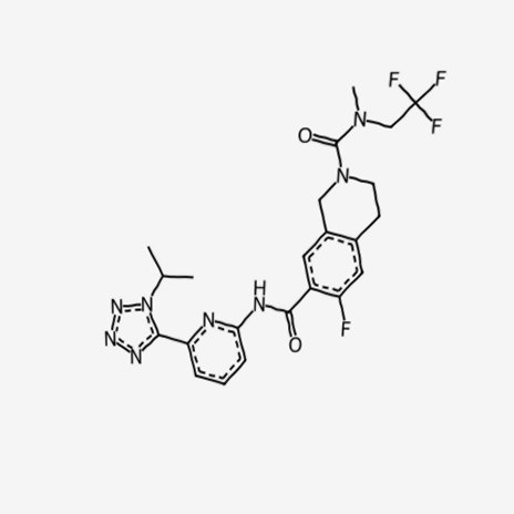 CC(C)n1nnnc1-c1cccc(NC(=O)c2cc3c(cc2F)CCN(C(=O)N(C)CC(F)(F)F)C3)n1